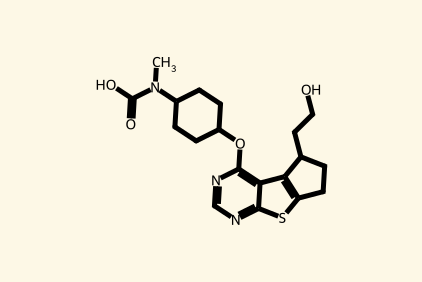 CN(C(=O)O)C1CCC(Oc2ncnc3sc4c(c23)C(CCO)CC4)CC1